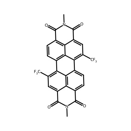 CN1C(=O)c2ccc3c4c(C(F)(F)F)cc5c6c(ccc(c7c(C(F)(F)F)cc(c2c37)C1=O)c64)C(=O)N(C)C5=O